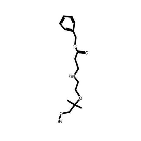 CC(C)OCC(C)(C)OCCNCCC(=O)OCc1ccccc1